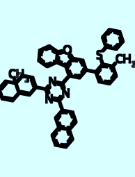 Cc1cccc(-c2cc(-c3nc(C4=CCC5(C)C=CC=CC5=C4)nc(-c4ccc5ccccc5c4)n3)c3c(c2)oc2ccccc23)c1Sc1ccccc1